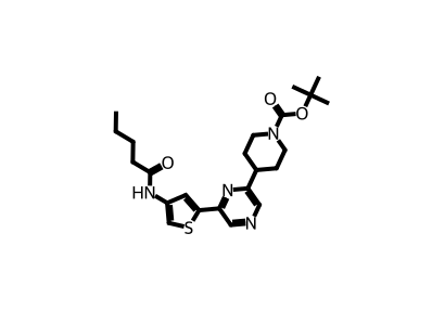 CCCCC(=O)Nc1csc(-c2cncc(C3CCN(C(=O)OC(C)(C)C)CC3)n2)c1